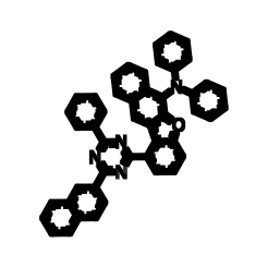 c1ccc(-c2nc(-c3ccc4ccccc4c3)nc(-c3cccc4oc5c(N(c6ccccc6)c6ccccc6)c6ccccc6cc5c34)n2)cc1